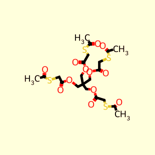 CC(=O)SCC(=O)OCC(COC(=O)CSC(C)=O)(COC(=O)CSC(C)=O)COC(=O)CSC(C)=O